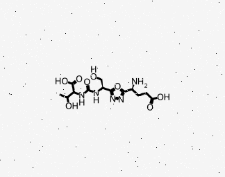 CC(O)C(NC(=O)N[C@@H](CO)c1nnc([C@@H](N)CCC(=O)O)o1)C(=O)O